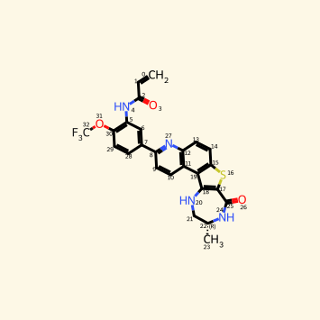 C=CC(=O)Nc1cc(-c2ccc3c(ccc4sc5c(c43)NC[C@@H](C)NC5=O)n2)ccc1OC(F)(F)F